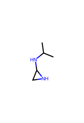 CC(C)NC1CN1